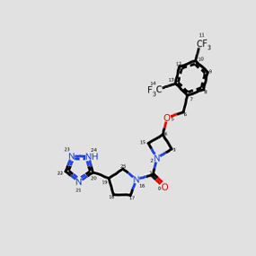 O=C(N1CC(OCc2ccc(C(F)(F)F)cc2C(F)(F)F)C1)N1CCC(c2ncn[nH]2)C1